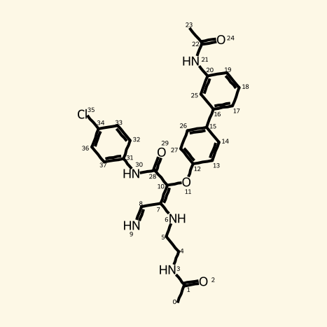 CC(=O)NCCN/C(C=N)=C(\Oc1ccc(-c2cccc(NC(C)=O)c2)cc1)C(=O)Nc1ccc(Cl)cc1